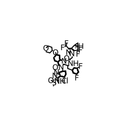 Cn1nc(N[S+](C)[O-])c2c(Cl)ccc(-n3c(C(Cc4cc(F)cc(F)c4)NC(=O)Cn4nc(C(F)F)c5c4C(F)(F)[C@@H]4CC54)nc4cc(OC5CCOCC5)ccc4c3=O)c21